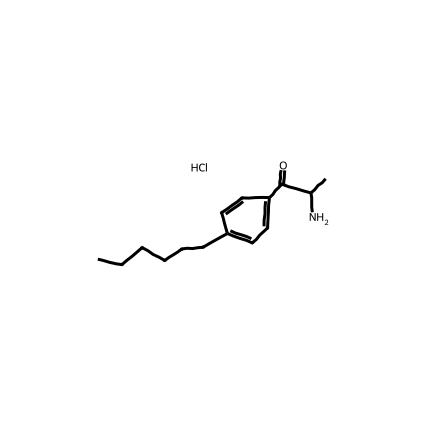 CCCCCCc1ccc(C(=O)C(C)N)cc1.Cl